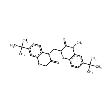 CN1C(=O)C(CN2C(=O)COc3cc(C(C)(C)C)ccc32)Oc2ccc(C(C)(C)C)cc21